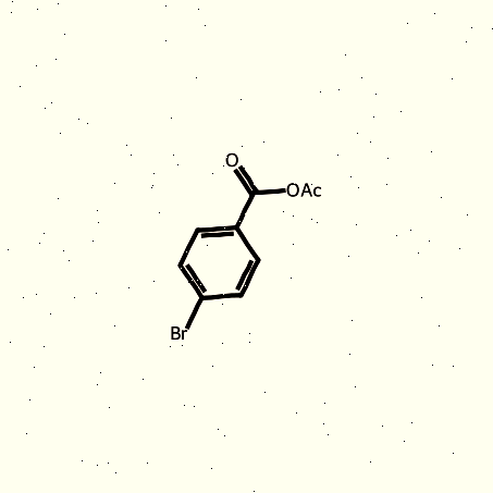 CC(=O)OC(=O)c1ccc(Br)cc1